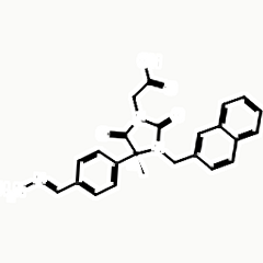 C[C@@]1(c2ccc(C=NN)cc2)C(=O)N(CC(=O)O)C(=O)N1Cc1ccc2ccccc2c1